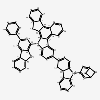 C1=C2CC(C=C1N1C3=CC=C(c4ccc5c(c4)c4c6ccccc6c6c7ccccc7sc6c4n5-c4nc(-c5ccccc5)nc5c4sc4ccccc45)CC3c3ccccc31)C2